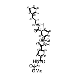 COC(=O)CNC(=O)c1ccc(C(=O)NS(=O)(=O)c2cccc(C(=O)NCCCc3ccccc3)c2)cn1